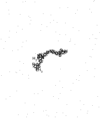 COc1ccc(F)cc1C(=O)NCc1ccc(-c2nn(-c3ccc(N4CC(CN5CCN(c6ccc7c(c6)CN([C@H]6CCC(=O)NC6=O)C7=O)CC5)C4)cc3)c3ncnc(N)c23)cc1